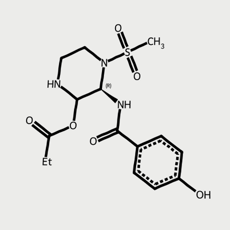 CCC(=O)OC1NCCN(S(C)(=O)=O)[C@H]1NC(=O)c1ccc(O)cc1